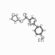 CCOc1ccc(-c2nc(C(=O)OC3CCOC3)cs2)cc1